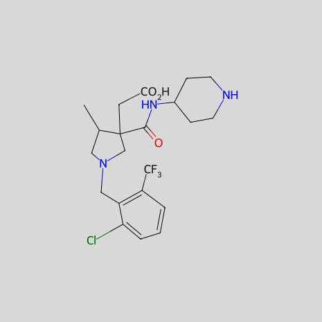 CC1CN(Cc2c(Cl)cccc2C(F)(F)F)CC1(CC(=O)O)C(=O)NC1CCNCC1